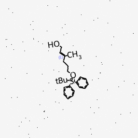 C/C(=C\CO)CCCO[Si](c1ccccc1)(c1ccccc1)C(C)(C)C